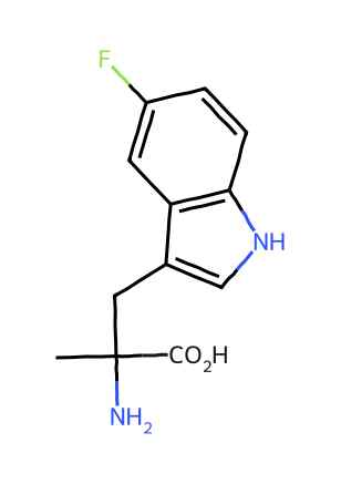 CC(N)(Cc1c[nH]c2ccc(F)cc12)C(=O)O